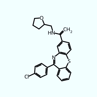 C=C(NCC1CCCO1)c1ccc2c(c1)N=C(c1ccc(Cl)cc1)c1ccccc1S2